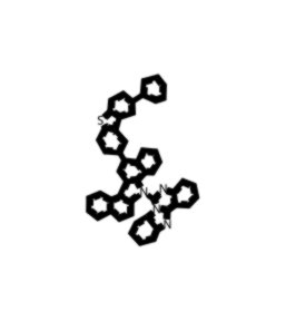 c1ccc(-c2ccc3sc4ccc(-c5cc6c7c8ccccc8ccc7n(-c7nc8ccccc8c8nc9ccccc9n78)c6c6ccccc56)cc4c3c2)cc1